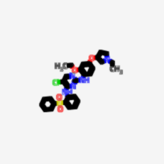 CCOc1cc(OC2CCN(CC)C2)ccc1Nc1ncc(Cl)c(Nc2ccccc2S(=O)(=O)C2CCCCC2)n1